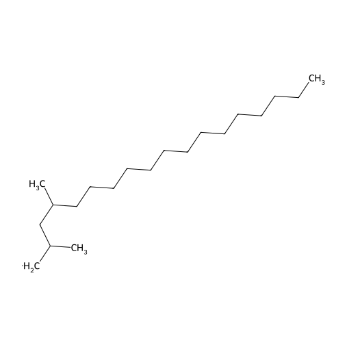 [CH2]C(C)CC(C)CCCCCCCCCCCCCC